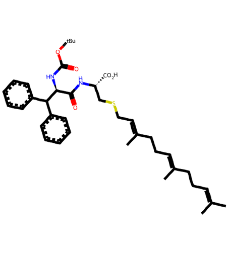 CC(C)=CCC/C(C)=C/CC/C(C)=C/CSC[C@H](NC(=O)[C@H](NC(=O)OC(C)(C)C)C(c1ccccc1)c1ccccc1)C(=O)O